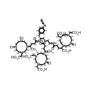 CCN1CCN(CC)CCN([C@H](C)CCC(=O)N[C@@H](Cc2ccc(N=C=S)cc2)CN(CCNC(=O)CC[C@@H](C(=O)O)N2CCN(CC)CCN(CC(=O)O)CCN(CC(=O)O)CC2)C(=O)CC[C@@H](C)N2CCN(CC)CCN(CC(=O)O)CCN(CC(=O)O)CC2)CCN(CC(=O)O)CC1